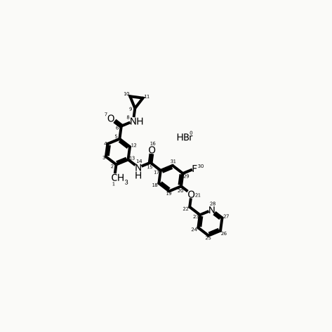 Br.Cc1ccc(C(=O)NC2CC2)cc1NC(=O)c1ccc(OCc2ccccn2)c(F)c1